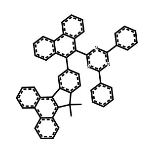 CC1(C)c2ccc(-c3c(-c4nc(-c5ccccc5)nc(-c5ccccc5)n4)c4ccccc4c4ccccc34)cc2-c2c1c1ccccc1c1ccccc21